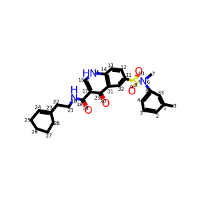 Cc1cccc(N(C)S(=O)(=O)c2ccc3[nH]cc(C(=O)NCCC4=CCCCC4)c(=O)c3c2)c1